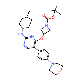 CC(C)(C)OC(=O)N1CC(Oc2nc(N[C@H]3CC[C@H](C)CC3)ncc2-c2ccc(N3CCOCC3)cc2)C1